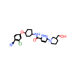 N#Cc1ccc(OC2CCC(NC(=O)c3ccc(N4CCCC(CO)C4)nn3)CC2)cc1Cl